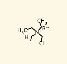 CC[N+](C)(CC)CCl.[Br-]